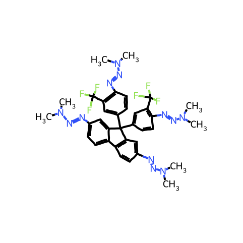 CN(C)N=Nc1ccc2c(c1)C(c1ccc(N=NN(C)C)c(C(F)(F)F)c1)(c1ccc(N=NN(C)C)c(C(F)(F)F)c1)c1cc(N=NN(C)C)ccc1-2